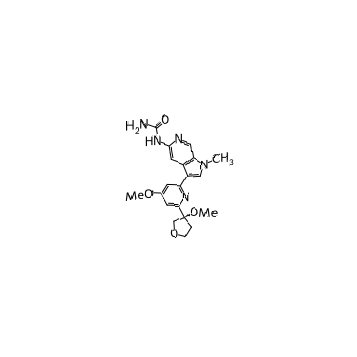 COc1cc(-c2cn(C)c3cnc(NC(N)=O)cc23)nc([C@]2(OC)CCOC2)c1